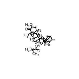 C=C(C)C(=O)OC[C@@]12OC[C@H]3OC4(O[C@H]3[C@@H]1OC1(O2)C2CC3CC(C2)C(=O)C1C3)C(CC)CC(C)C(=O)C4C